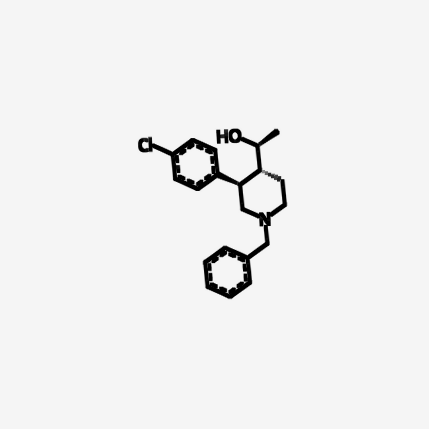 C[C@H](O)[C@@H]1CCN(Cc2ccccc2)C[C@H]1c1ccc(Cl)cc1